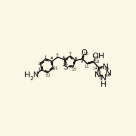 Nc1ccc(Cc2cc(C(=O)C=C(O)c3nn[nH]n3)cs2)cc1